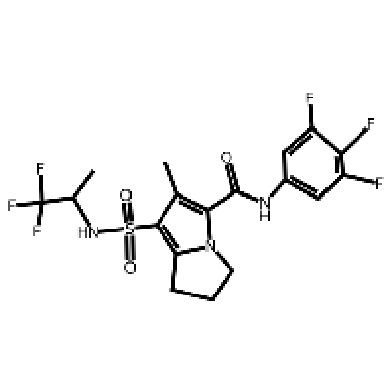 Cc1c(S(=O)(=O)NC(C)C(F)(F)F)c2n(c1C(=O)Nc1cc(F)c(F)c(F)c1)CCC2